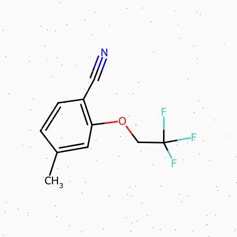 Cc1ccc(C#N)c(OCC(F)(F)F)c1